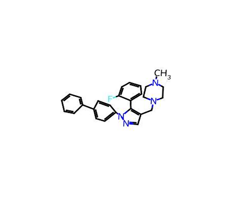 CN1CCN(Cc2cnn(-c3ccc(-c4ccccc4)cc3)c2-c2ccccc2F)CC1